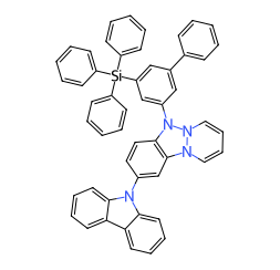 C1=CN2c3cc(-n4c5ccccc5c5ccccc54)ccc3N(c3cc(-c4ccccc4)cc([Si](c4ccccc4)(c4ccccc4)c4ccccc4)c3)N2C=C1